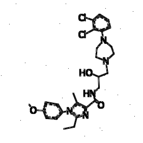 CCc1nc(C(=O)NCC(O)CN2CCN(c3cccc(Cl)c3Cl)CC2)c(C)n1-c1ccc(OC)cc1